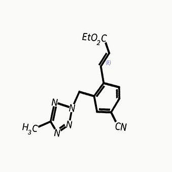 CCOC(=O)/C=C/c1ccc(C#N)cc1Cn1nnc(C)n1